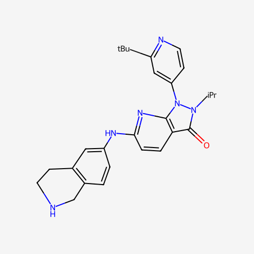 CC(C)n1c(=O)c2ccc(Nc3ccc4c(c3)CCNC4)nc2n1-c1ccnc(C(C)(C)C)c1